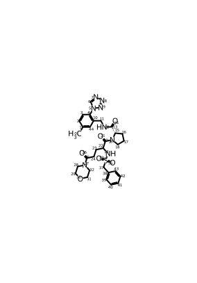 Cc1ccc(-n2cnnn2)c(CNC(=O)[C@@H]2CCCN2C(=O)C(CCC(=O)N2CCOCC2)NS(=O)(=O)Cc2ccccc2)c1